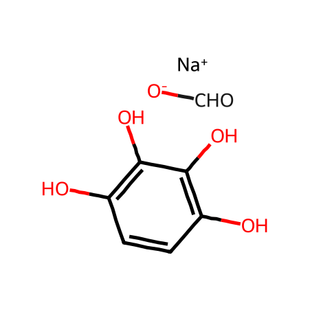 O=C[O-].Oc1ccc(O)c(O)c1O.[Na+]